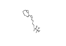 FC(F)(F)C(F)(F)CCCCCOC1CCCCO1